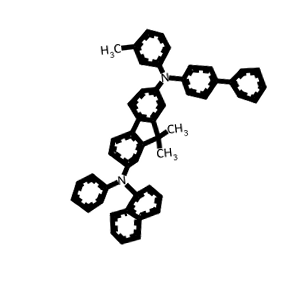 Cc1cccc(N(c2ccc(-c3ccccc3)cc2)c2ccc3c(c2)C(C)(C)c2cc(N(c4ccccc4)c4cccc5ccccc45)ccc2-3)c1